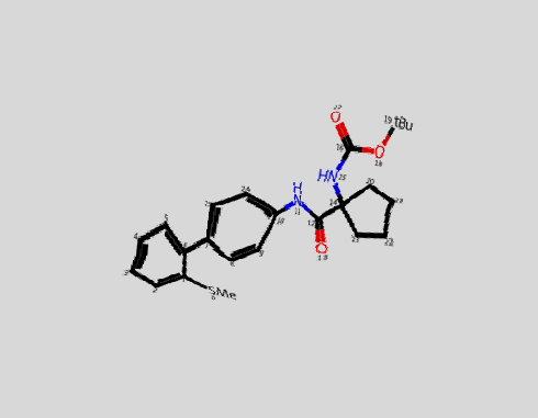 CSc1ccccc1-c1ccc(NC(=O)C2(NC(=O)OC(C)(C)C)CCCC2)cc1